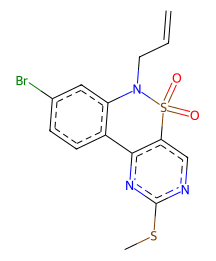 C=CCN1c2cc(Br)ccc2-c2nc(SC)ncc2S1(=O)=O